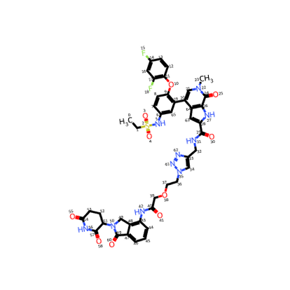 CCS(=O)(=O)Nc1ccc(Oc2ccc(F)cc2F)c(-c2cn(C)c(=O)c3[nH]c(C(=O)NCc4cn(CCOCC(=O)Nc5cccc6c5CN(C5CCC(=O)NC5=O)C6=O)nn4)cc23)c1